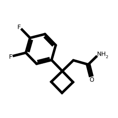 NC(=O)CC1(c2ccc(F)c(F)c2)CCC1